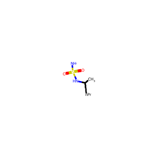 CCCC(C)NS([NH])(=O)=O